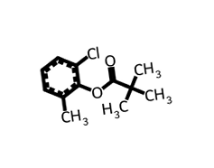 Cc1cccc(Cl)c1OC(=O)C(C)(C)C